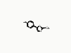 CC(C)(C)c1nc(-c2ccc(O)cc2)cs1